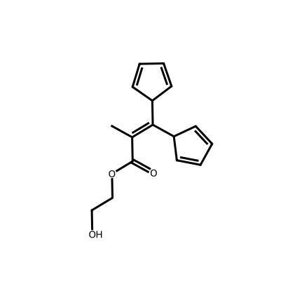 CC(C(=O)OCCO)=C(C1C=CC=C1)C1C=CC=C1